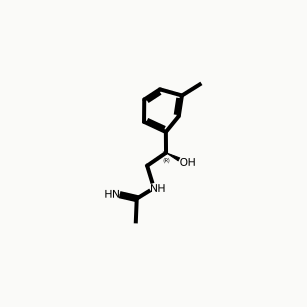 CC(=N)NC[C@H](O)c1cccc(C)c1